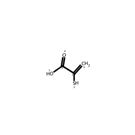 C=C(S)C(=O)O